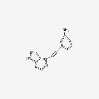 Nc1cccc(C#Cc2ncnc3[nH]ccc23)c1